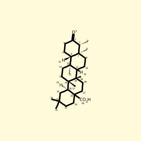 C[C@H]1C(=O)CC[C@@H]2[C@]1(C)CC[C@H]1[C@@]2(C)CC[C@@]2(C)[C@@H]3CC(C)(C)CCC3(C(=O)O)CC[C@@]12C